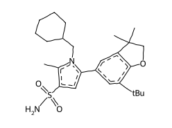 Cc1c(S(N)(=O)=O)cc(-c2cc(C(C)(C)C)c3c(c2)C(C)(C)CO3)n1CC1CCCCC1